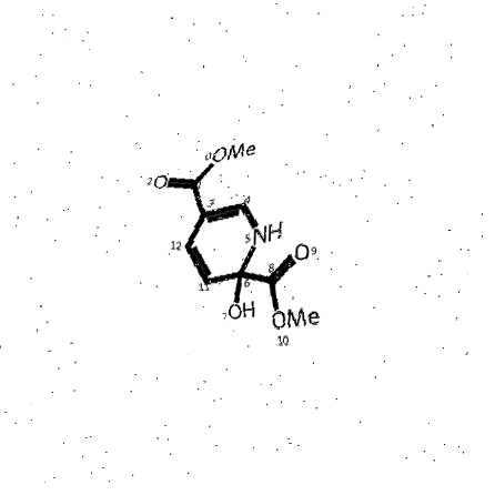 COC(=O)C1=CNC(O)(C(=O)OC)C=C1